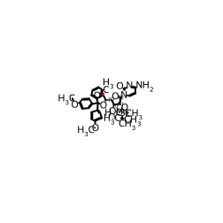 COc1ccc(C(OC(C(C)=O)[C@H]2O[C@@H](n3ccc(N)nc3=O)[C@H](O[Si](C)(C)C(C)(C)C)[C@@H]2O)(c2ccccc2)c2ccc(OC)cc2)cc1